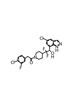 O=C(Cc1ccc(Cl)c(F)c1)N1CCC(C(F)(F)C(O)c2cc(Cl)cc3cn[nH]c23)CC1